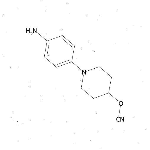 N#COC1CCN(c2ccc(N)cc2)CC1